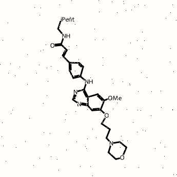 CCCC(C)CNC(=O)C=Cc1ccc(Nc2ncnc3cc(OCCCN4CCOCC4)c(OC)cc23)cc1